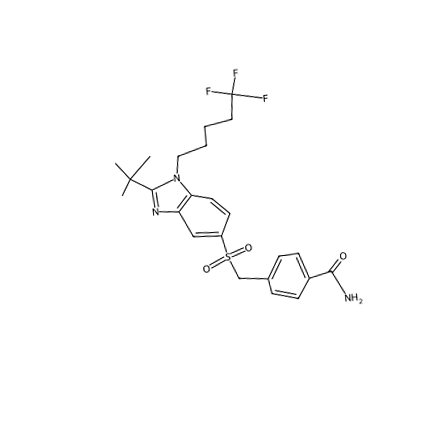 CC(C)(C)c1nc2cc(S(=O)(=O)Cc3ccc(C(N)=O)cc3)ccc2n1CCCCC(F)(F)F